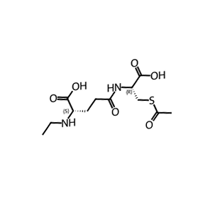 CCN[C@@H](CCC(=O)N[C@@H](CSC(C)=O)C(=O)O)C(=O)O